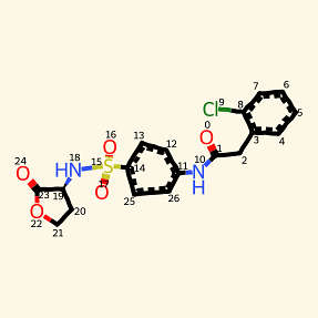 O=C(Cc1ccccc1Cl)Nc1ccc(S(=O)(=O)N[C@H]2CCOC2=O)cc1